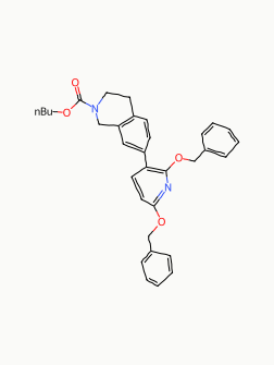 CCCCOC(=O)N1CCc2ccc(-c3ccc(OCc4ccccc4)nc3OCc3ccccc3)cc2C1